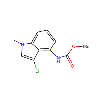 Cn1cc(Cl)c2c(NC(=O)OC(C)(C)C)cccc21